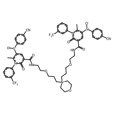 Cc1c([S+]([O-])c2ccc(C#N)cc2)cc(C(=O)NCCOCCC[N+]2(CCCOCCNC(=O)c3cc([S+]([O-])c4ccc(C#N)cc4)c(C)n(-c4cccc(C(F)(F)F)c4)c3=O)CCOCC2)c(=O)n1-c1cccc(C(F)(F)F)c1